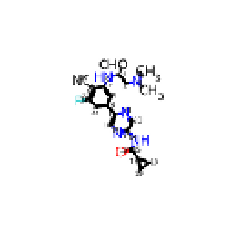 CN(C)C[C@@H](C=O)Nc1cc(-c2cnc(NC(=O)C3CC3)cn2)cc(F)c1C#N